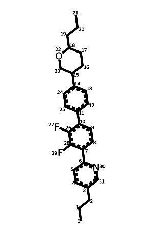 CCCc1ccc(-c2ccc(-c3ccc(C4CCC(CCC)OC4)cc3)c(F)c2F)nc1